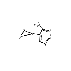 Nc1ncncc1C1CC1